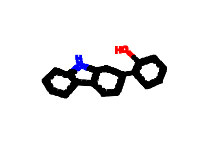 Oc1ccccc1-c1ccc2c(c1)[nH]c1ccccc12